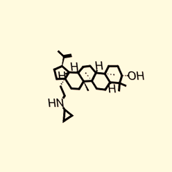 C=C(C)[C@@H]1CC[C@]2(CCNC3CC3)CC[C@]3(C)[C@H](CC[C@@H]4[C@@]5(C)CC[C@H](O)C(C)(C)[C@@H]5CC[C@]43C)[C@@H]12